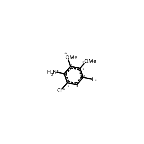 COc1c(I)cc(Cl)c(N)c1OC